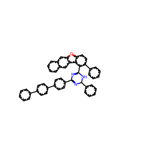 c1ccc(-c2ccc(-c3ccc(C4=NC(c5ccccc5)NC(c5c(-c6ccccc6)ccc6oc7cc8ccccc8cc7c56)=N4)cc3)cc2)cc1